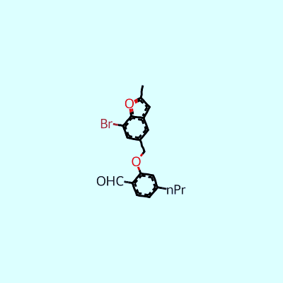 CCCc1ccc(C=O)c(OCc2cc(Br)c3oc(C)cc3c2)c1